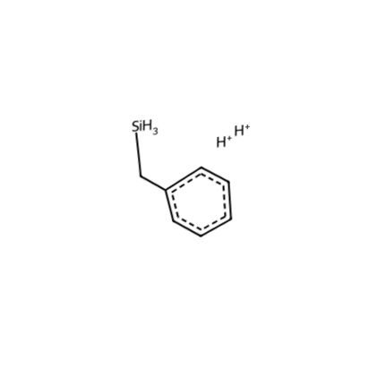 [H+].[H+].[SiH3]Cc1ccccc1